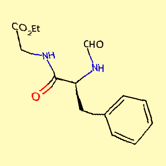 CCOC(=O)CNC(=O)[C@H](Cc1ccccc1)NC=O